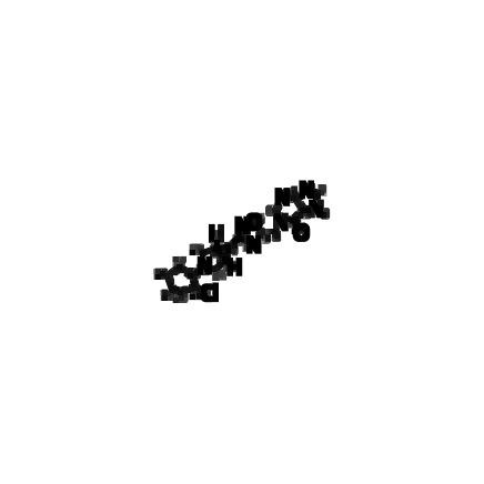 Cn1cnc2ncn(Cc3nc([C@H]4[C@@H]5CN(c6ccccc6Cl)C[C@@H]54)no3)c(=O)c21